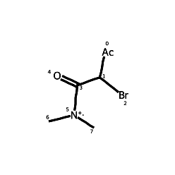 CC(=O)C(Br)C(=O)[N+](C)C